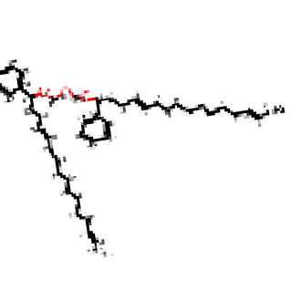 CCCCC=CCCCCCCCCC=CCCC(OCOCOC(CCC=CCCCCCCCCC=CCCCC)c1ccccc1)c1ccccc1